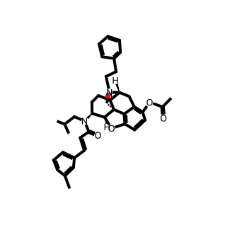 CC(=O)Oc1ccc2c3c1C[C@@H]1[C@@H]4CC[C@H](N(CC(C)C)C(=O)C=Cc5cccc(C)c5)[C@H](O2)[C@]34CCN1CCc1ccccc1